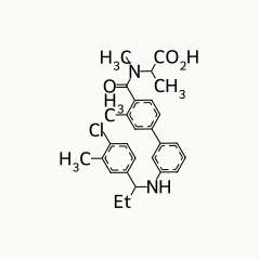 CCC(Nc1cccc(-c2ccc(C(=O)N(C)C(C)C(=O)O)c(C)c2)c1)c1ccc(Cl)c(C)c1